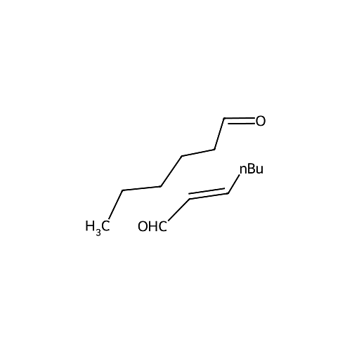 CCCCC=CC=O.CCCCCC=O